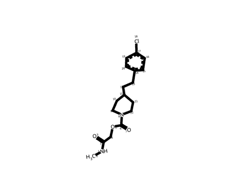 CNC(=O)COC(=O)N1CCC(CCc2ccc(Cl)cc2)CC1